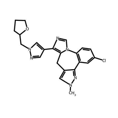 Cn1cc2c(n1)-c1cc(Cl)ccc1-n1cnc(-c3cnn(CC4CCCO4)c3)c1C2